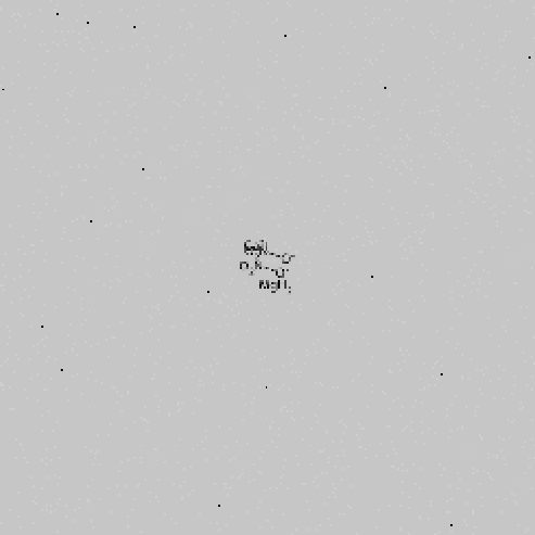 O=[N+]([O-])[O-].O=[N+]([O-])[O-].[Ca+2].[MgH2]